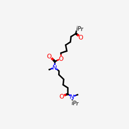 CC(C)C(=O)CCCCCOC(=O)N(C)CCCCCC(=O)N(C)C(C)C